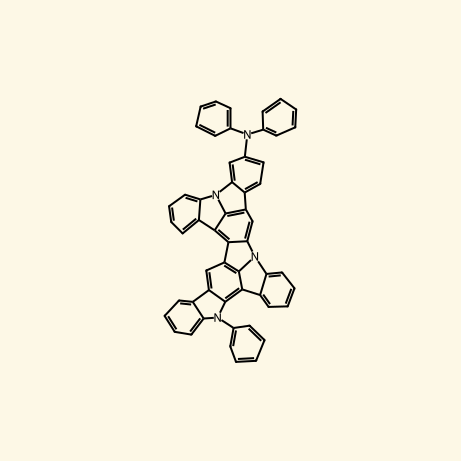 c1ccc(N(c2ccccc2)c2ccc3c4cc5c(c6cc7c8ccccc8n(-c8ccccc8)c7c7c8ccccc8n5c67)c5c6ccccc6n(c3c2)c45)cc1